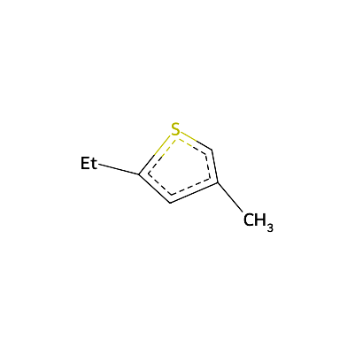 CCc1cc(C)cs1